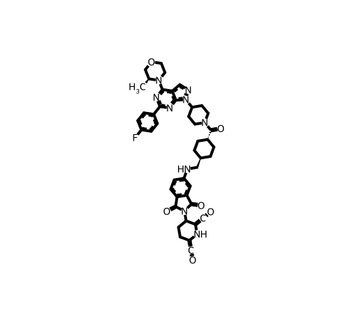 C[C@H]1COCCN1c1nc(-c2ccc(F)cc2)nc2c1cnn2C1CCN(C(=O)[C@H]2CC[C@H](CNc3ccc4c(c3)C(=O)N(C3CCC(=C=O)NC3=C=O)C4=O)CC2)CC1